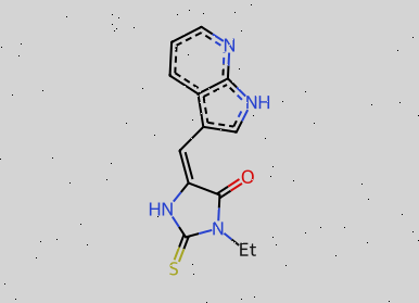 CCN1C(=O)C(=Cc2c[nH]c3ncccc23)NC1=S